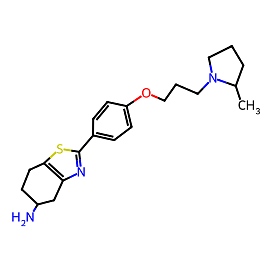 CC1CCCN1CCCOc1ccc(-c2nc3c(s2)CCC(N)C3)cc1